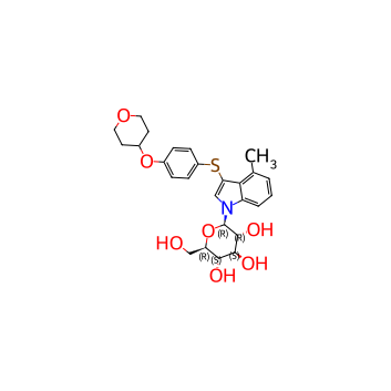 Cc1cccc2c1c(Sc1ccc(OC3CCOCC3)cc1)cn2[C@@H]1O[C@H](CO)[C@@H](O)[C@H](O)[C@H]1O